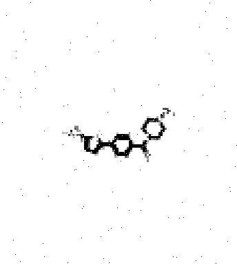 CN1CCN(C(=O)c2ccc(-c3ccc(C(=O)O)o3)cc2)CC1